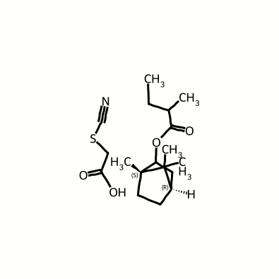 CCC(C)C(=O)OC1C[C@H]2CC[C@@]1(C)C2(C)C.N#CSCC(=O)O